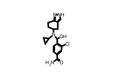 NC(=O)c1ccc(C(O)N(C2CC2)C2CCc3n[nH]cc3C2)c(Cl)c1